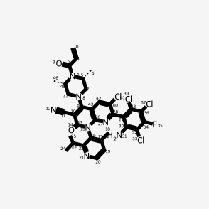 C=CC(=O)N1[C@H](C)CN(c2c(C#N)c(=O)n(-c3c(C)ccnc3C(C)C)c3nc(-c4c(N)c(Cl)c(F)c(Cl)c4Cl)c(Cl)cc23)C[C@@H]1C